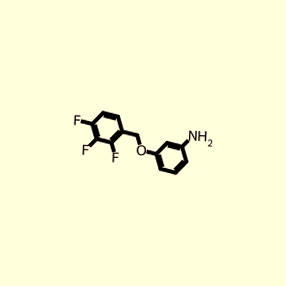 Nc1cccc(OCc2ccc(F)c(F)c2F)c1